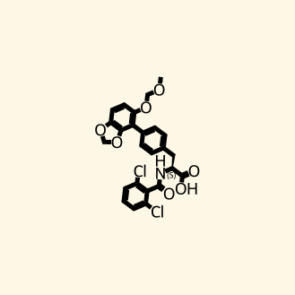 COCOc1ccc2c(c1-c1ccc(C[C@H](NC(=O)c3c(Cl)cccc3Cl)C(=O)O)cc1)OCO2